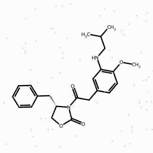 COc1ccc(CC(=O)N2C(=O)OC[C@@H]2Cc2ccccc2)cc1NCC(C)C